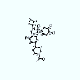 CC(=O)N1CCN(c2ccc(CN(C3CCC3)S(=O)(=O)c3ccc(Cl)c(Cl)c3)c(F)c2)CC1